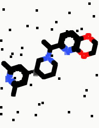 Cc1cc([C@H]2CCCN(C(C)c3ccc4c(n3)OCCO4)C2)cc(C)n1